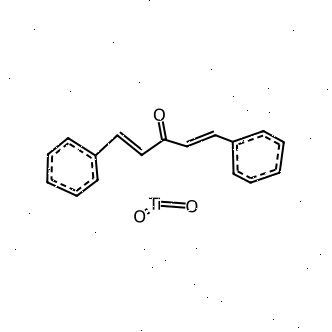 O=C(C=Cc1ccccc1)C=Cc1ccccc1.[O]=[Ti]=[O]